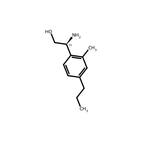 CCCc1ccc([C@H](N)CO)c(C)c1